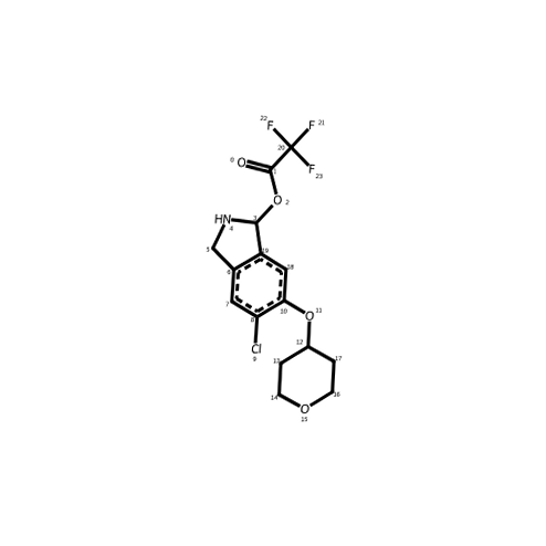 O=C(OC1NCc2cc(Cl)c(OC3CCOCC3)cc21)C(F)(F)F